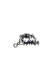 CO[C@]1(CN2CCCN(C(C)C)CC2)/C=C/C[C@H](C)[C@@H](C)S(=O)(=O)NC(=O)c2ccc3c(c2)N(CCCCc2cc(Cl)ccc2CO3)C[C@@H]2CC[C@H]21